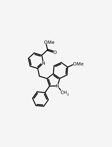 COC(=O)c1cccc(Cc2c(-c3ccccc3)n(C)c3cc(OC)ccc23)n1